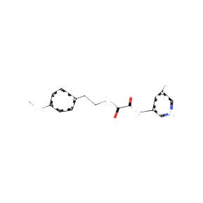 COc1ccc(CCNC(=O)C(=O)Nc2cncc(Cl)c2)cc1